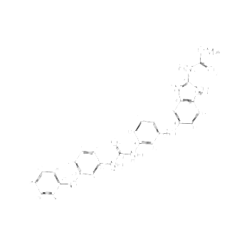 COC(=O)Nc1nc2cc(Oc3cccc(NC(=O)Nc4cccc(Oc5ccccc5)c4)c3)ccc2[nH]1